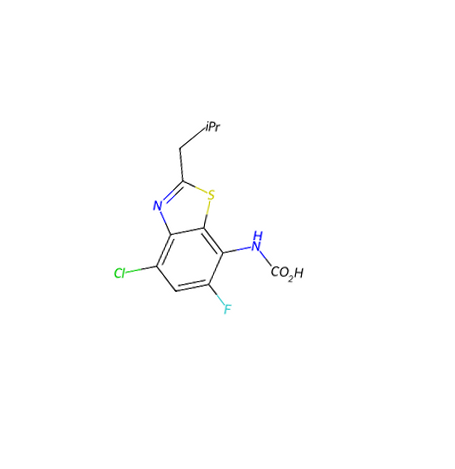 CC(C)Cc1nc2c(Cl)cc(F)c(NC(=O)O)c2s1